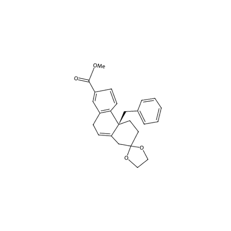 COC(=O)c1ccc2c(c1)CC=C1CC3(CC[C@]12Cc1ccccc1)OCCO3